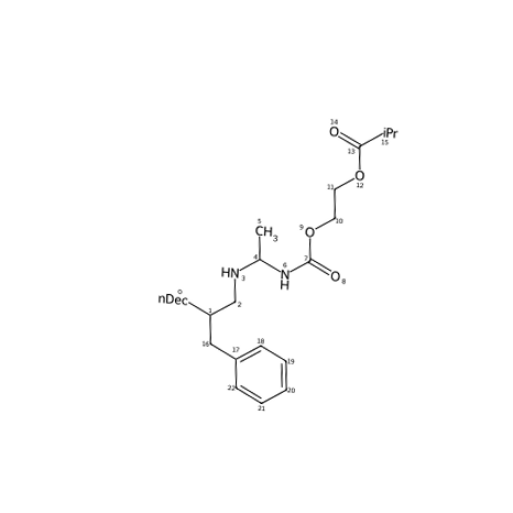 CCCCCCCCCCC(CNC(C)NC(=O)OCCOC(=O)C(C)C)Cc1ccccc1